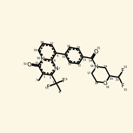 Cc1c(C(C)(F)F)nc2c(-c3ccc(C(=O)N4CCOC(C(F)F)C4)cc3)cccn2c1=O